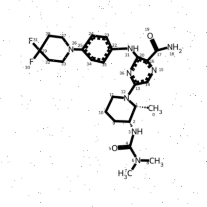 C[C@@H]1[C@H](NC(=O)N(C)C)CCCN1c1cnc(C(N)=O)c(Nc2ccc(N3CCC(F)(F)CC3)cc2)n1